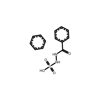 O=C(NNS(=O)(=O)O)c1ccccc1.c1ccccc1